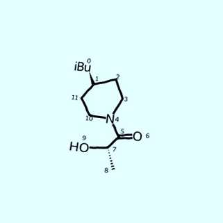 CC[C@H](C)C1CCN(C(=O)[C@H](C)O)CC1